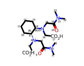 CN(C)C(=O)CN(CC(=O)O)[C@@H]1CCCC[C@H]1N(CC(=O)O)CC(=O)N(C)C